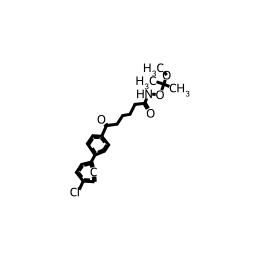 COC(C)(C)ONC(=O)CCCCC(=O)c1ccc(-c2ccc(Cl)cc2)cc1